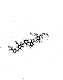 CCNCc1cc(Cl)c(O[C@H]2CCc3c(-c4cccc(-c5nc6cc(CN7CCC(C(=O)O)C7)cc(C#N)c6o5)c4C)cccc32)nc1OC